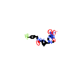 O=C(NCCc1ccc(C(F)(F)F)cc1)c1ccc(CN2CCOc3nc([N+](=O)[O-])cn3CC2)cc1